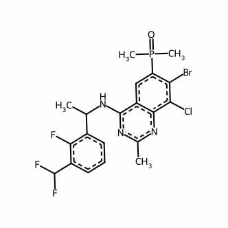 Cc1nc(NC(C)c2cccc(C(F)F)c2F)c2cc(P(C)(C)=O)c(Br)c(Cl)c2n1